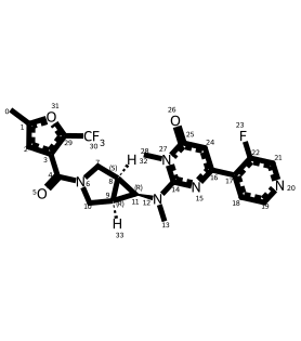 Cc1cc(C(=O)N2C[C@@H]3[C@H](C2)[C@@H]3N(C)c2nc(-c3ccncc3F)cc(=O)n2C)c(C(F)(F)F)o1